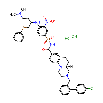 CN(C)CC[C@H](CSc1ccccc1)Nc1ccc(S(=O)(=O)NC(=O)c2ccc3c(c2)CC[C@@H]2CN(Cc4ccccc4-c4ccc(Cl)cc4)CCN32)cc1[N+](=O)[O-].Cl.Cl